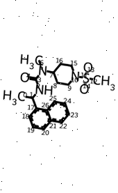 CC(NC(=O)N(C)C1CCN(S(C)(=O)=O)CC1)c1cccc2ccccc12